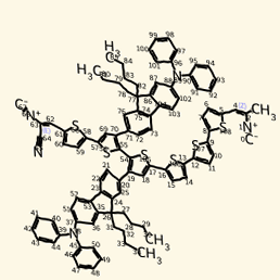 [C-]#[N+]/C(C)=C\c1ccc(-c2ccc(-c3ccc(-c4cc(-c5ccc6c(c5)C(CCCC)(CCCC)c5cc(N(c7ccccc7)c7ccccc7)ccc5-6)c(-c5sc(-c6ccc(/C=C(\C#N)[N+]#[C-])s6)cc5-c5ccc6c(c5)C(CCCC)(CCCC)c5cc(N(c7ccccc7)c7ccccc7)ccc5-6)s4)s3)s2)s1